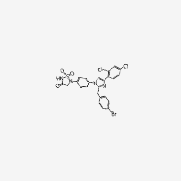 O=C1CN(c2ccc(-n3cc(-c4ccc(Cl)cc4Cl)nc3Cc3ccc(Br)cc3)cc2)S(=O)(=O)N1